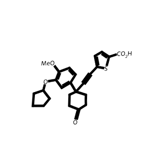 COc1ccc(C2(C#Cc3ccc(C(=O)O)s3)CCC(=O)CC2)cc1OC1CCCC1